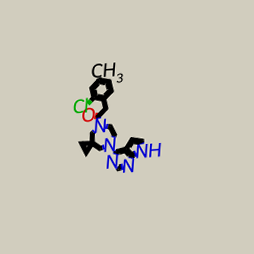 Cc1ccc(CC(=O)N2CCN(c3ncnc4[nH]ccc34)CC3(CC3)C2)c(Cl)c1